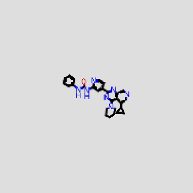 O=C(Nc1ccccc1)Nc1cc(-c2nc(N3CCCCC3)c3c(C4CC4)cncc3n2)ccn1